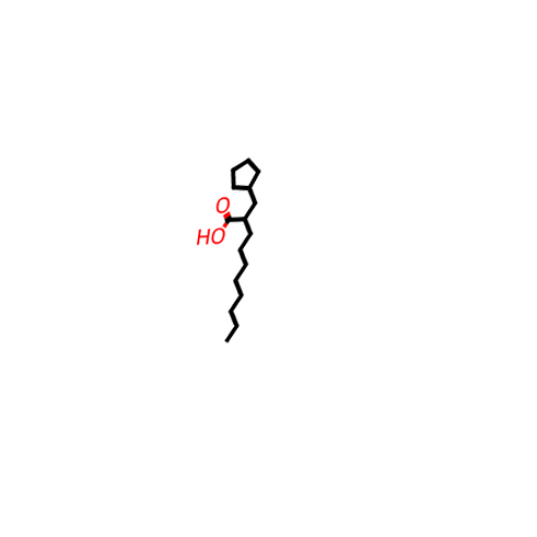 CCCCCCCCC(CC1CCCC1)C(=O)O